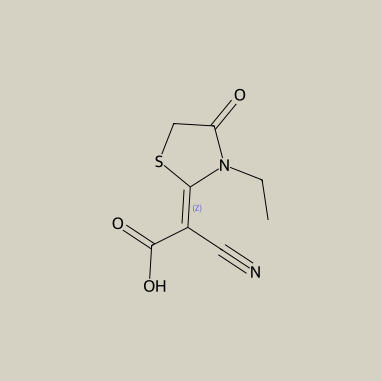 CCN1C(=O)CS/C1=C(/C#N)C(=O)O